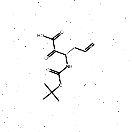 C=CC[C@H](NC(=O)OC(C)(C)C)C(=O)C(=O)O